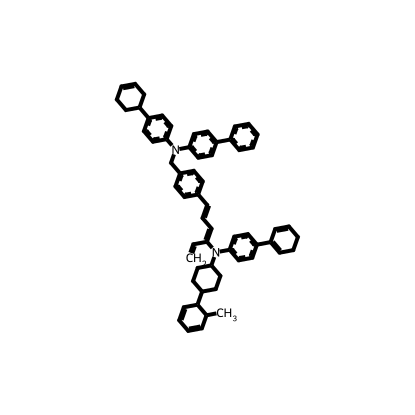 C=C/C(=C\C=C\c1ccc(CN(c2ccc(-c3ccccc3)cc2)c2ccc(C3CC=CCC3)cc2)cc1)N(c1ccc(C2=CCCC=C2)cc1)C1CCC(C2C=CC=CC2C)CC1